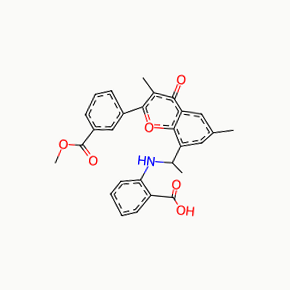 COC(=O)c1cccc(-c2oc3c(C(C)Nc4ccccc4C(=O)O)cc(C)cc3c(=O)c2C)c1